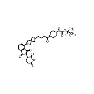 CC(C)(C)OC(=O)NC1CCN(C(=O)CCCN2CC3(C2)CN(c2cccc4c2C(=O)N(C2CCC(=O)NC2=O)C4=O)C3)CC1